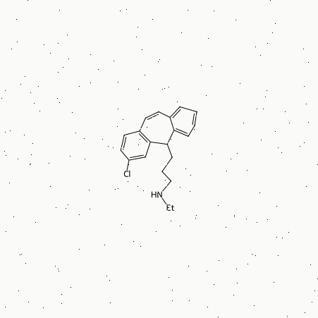 CCNCCCC1c2ccccc2C=Cc2ccc(Cl)cc21